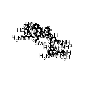 CSCCC(NC(=O)C(CCCCN)NC(=O)C(N)C(C)O)C(=O)NC(Cc1ccc(O)cc1)C(=O)N1CCCC1C(=O)NC(CCCNC(=N)N)C(=O)NCC(=O)NC(CC(N)=O)C(=O)NC(Cc1c[nH]cn1)C(=O)O